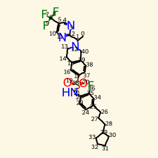 CC(c1ncc(C(F)(F)F)cn1)N1CCc2cc(S(=O)(=O)Nc3ccc(CCCC4CCCC4)cc3F)ccc2C1